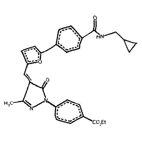 CCOC(=O)c1ccc(N2N=C(C)/C(=C/c3ccc(-c4ccc(C(=O)NCC5CC5)cc4)o3)C2=O)cc1